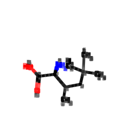 CC(CC(C)(C)C)[C@H](N)C(=O)O